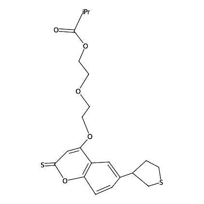 CC(C)C(=O)OCCOCCOc1cc(=S)oc2ccc(C3CCSC3)cc12